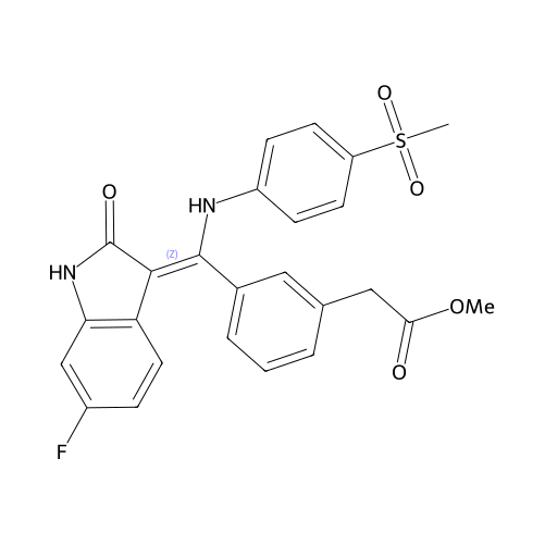 COC(=O)Cc1cccc(/C(Nc2ccc(S(C)(=O)=O)cc2)=C2/C(=O)Nc3cc(F)ccc32)c1